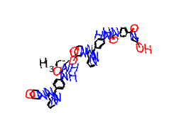 C[C@H](COC1CN(c2nc(-c3ccc(NC(=O)Nc4ccc(C(=O)N5CC(O)C5)cc4)cc3)nn3cccc23)CCO1)NC(=O)Nc1ccc(-c2nc(N3CCOCC3)c3cccn3n2)cc1